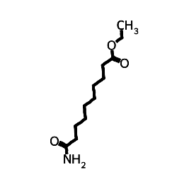 CCOC(=O)CCCCCCCCC(N)=O